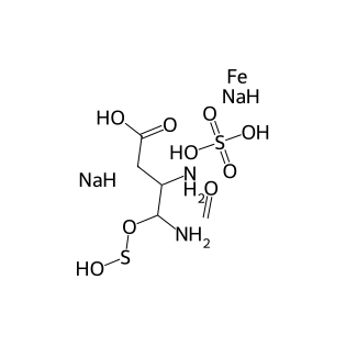 C=O.NC(CC(=O)O)C(N)OSO.O=S(=O)(O)O.[Fe].[NaH].[NaH]